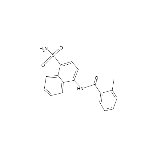 Cc1ccccc1C(=O)Nc1ccc(S(N)(=O)=O)c2ccccc12